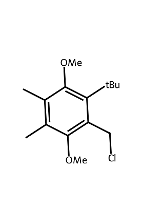 COc1c(C)c(C)c(OC)c(C(C)(C)C)c1CCl